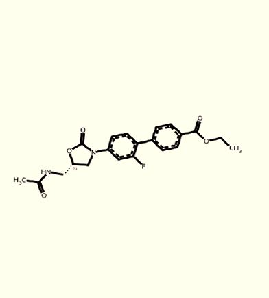 CCOC(=O)c1ccc(-c2ccc(N3C[C@H](CNC(C)=O)OC3=O)cc2F)cc1